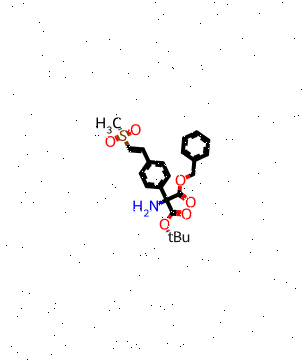 CC(C)(C)OC(=O)C(N)(C(=O)OCc1ccccc1)c1ccc(/C=C/S(C)(=O)=O)cc1